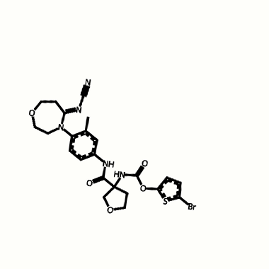 Cc1cc(NC(=O)C2(NC(=O)Oc3ccc(Br)s3)CCOC2)ccc1N1CCOCCC1=NC#N